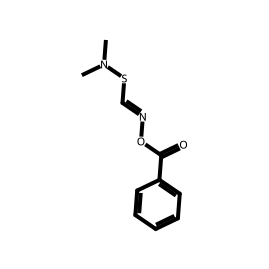 CN(C)SC=NOC(=O)c1ccccc1